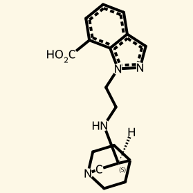 O=C(O)c1cccc2cnn(CCN[C@@H]3CN4CCC3CC4)c12